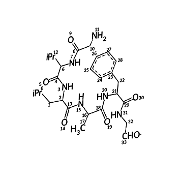 CC(C)CC(NC(=O)C(NC(=O)CN)C(C)C)C(=O)NC(C)C(=O)NC(Cc1ccccc1)C(=O)NC[C]=O